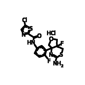 Cl.NC1=NC2(c3cc(NC(=O)c4ncc(Cl)s4)ccc3F)COCC2(F)CS1